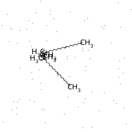 CCCCCCCCC=CCCCCCCCCC[Si](C)(C)O[Si](C)(C)CCCCCCCCCC=CCCCCCCCC